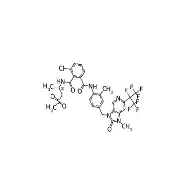 Cc1cc(Cn2c(=O)n(C)c3cc(C(F)(C(F)(F)F)C(F)(F)F)ncc32)ccc1NC(=O)c1cccc(Cl)c1C(=O)N[C@@H](C)CS(C)(=O)=O